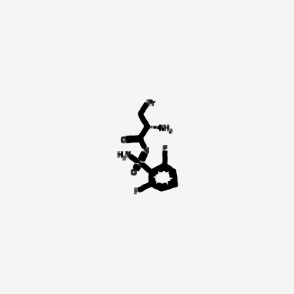 CC(C)C[C@H](N)C(=O)N=S(N)(=O)c1c(F)cccc1F